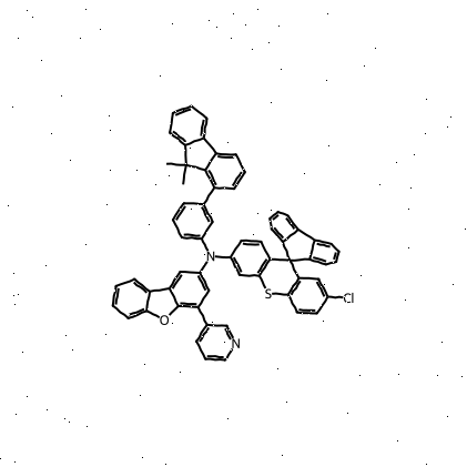 CC1(C)c2ccccc2-c2cccc(-c3cccc(N(c4ccc5c(c4)Sc4ccc(Cl)cc4C54c5ccccc5-c5ccccc54)c4cc(-c5cccnc5)c5oc6ccccc6c5c4)c3)c21